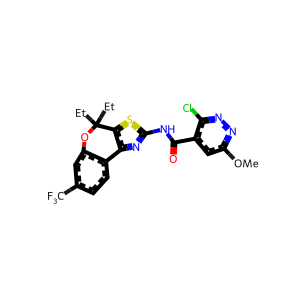 CCC1(CC)Oc2cc(C(F)(F)F)ccc2-c2nc(NC(=O)c3cc(OC)nnc3Cl)sc21